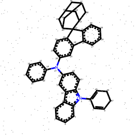 C1=CC(n2c3ccccc3c3cc(N(c4ccccc4)c4ccc5c(c4)-c4ccccc4C54C5CC6CC(C5)CC4C6)ccc32)=CCC1